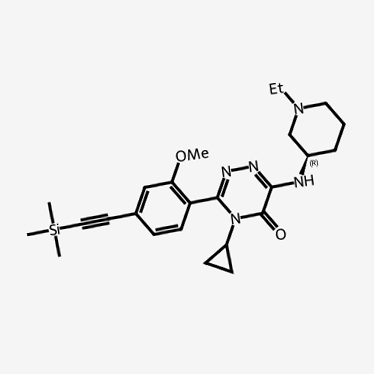 CCN1CCC[C@@H](Nc2nnc(-c3ccc(C#C[Si](C)(C)C)cc3OC)n(C3CC3)c2=O)C1